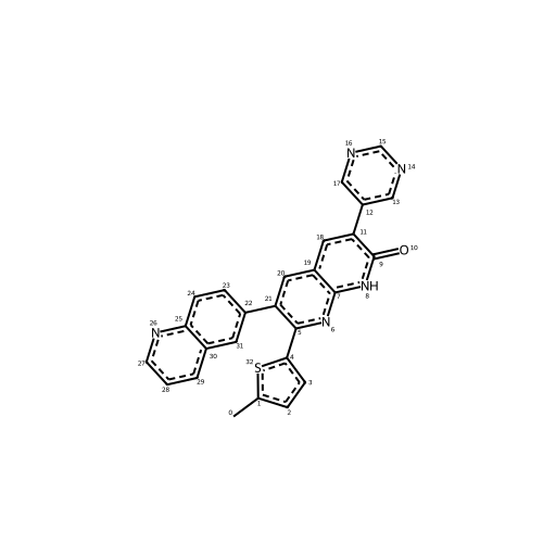 Cc1ccc(-c2nc3[nH]c(=O)c(-c4cncnc4)cc3cc2-c2ccc3ncccc3c2)s1